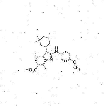 Cc1c(C(=O)O)ccc2c1nc(Nc1ccc(OC(F)(F)F)cc1)n2C1CC(C)(C)CC(C)(C)C1